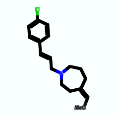 CO/C=C1/CCCN(C/C=C/c2ccc(Cl)cc2)CC1